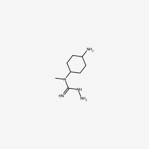 CN(C(=N)NN)C1CCC(N)CC1